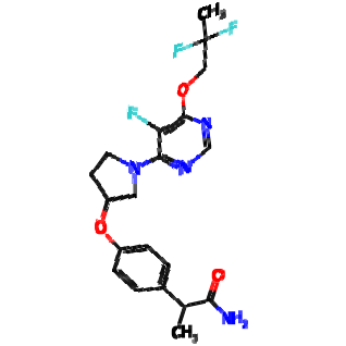 CC(C(N)=O)c1ccc(OC2CCN(c3ncnc(OCC(C)(F)F)c3F)C2)cc1